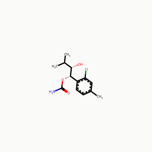 Cc1ccc([C@H](OC(N)=O)[C@@H](O)C(C)C)c(Cl)c1